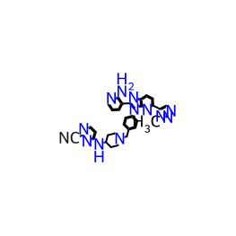 Cn1nncc1-c1ccc2nc(-c3cccnc3N)n(-c3ccc(CN4CCC(Nc5ccnc(C#N)n5)CC4)cc3)c2n1